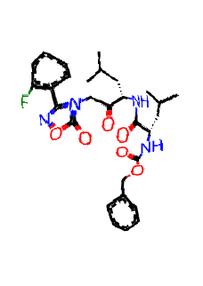 CC(C)C[C@H](NC(=O)[C@H](CC(C)C)NC(=O)OCc1ccccc1)C(=O)Cn1c(-c2ccccc2F)noc1=O